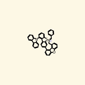 C(=N\Cc1cccc2oc3cccc(-c4ccc5c(c4)sc4cccc(-n6c7ccccc7c7ccccc76)c45)c3c12)/c1ccccc1